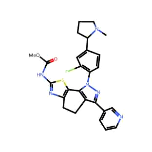 COC(=O)Nc1nc2c(s1)-c1c(c(-c3cccnc3)nn1-c1ccc(C3CCCN3C)cc1F)CC2